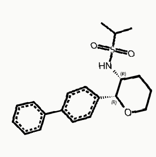 CC(C)S(=O)(=O)N[C@@H]1CCCO[C@@H]1c1ccc(-c2ccccc2)cc1